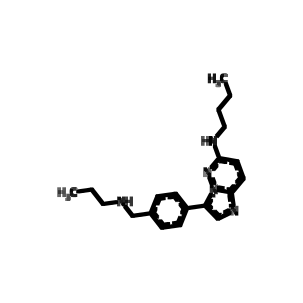 CCCCNc1ccc2ncc(-c3ccc(CNCCC)cc3)n2n1